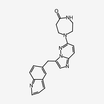 O=C1CCN(c2ccc3ncc(Cc4ccc5ncccc5c4)n3n2)CCN1